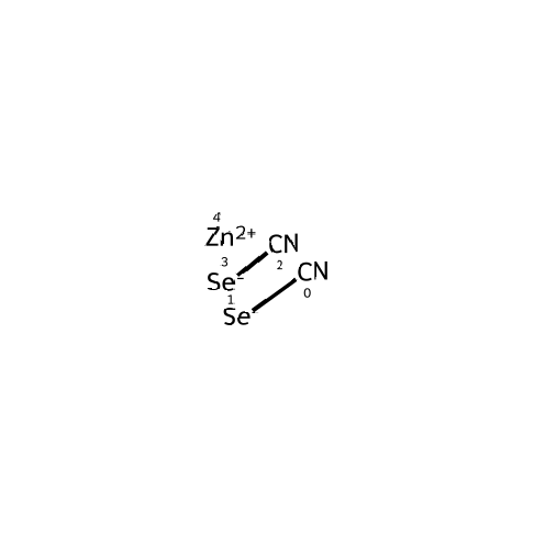 N#C[Se-].N#C[Se-].[Zn+2]